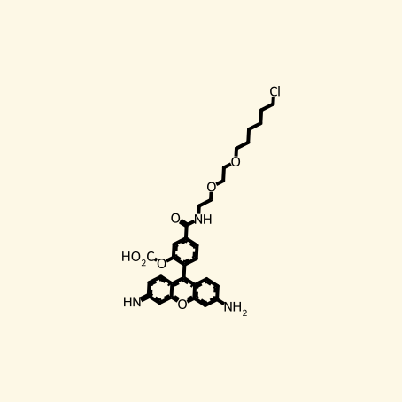 N=c1ccc2c(-c3ccc(C(=O)NCCOCCOCCCCCCCl)cc3OC(=O)O)c3ccc(N)cc3oc-2c1